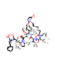 CC[C@@H](C)[C@@H]([C@@H](CC(=O)N1CCC[C@H]1[C@H](OC)[C@@H](C)C(=O)N[C@@H](Cc1ccccc1)C(=O)O)OC)N(C)C(=O)[C@@H](NC(=O)[C@H](C(C)C)N(C)C(=O)CCCCCN1C(=O)C=CC1=O)C(C)C